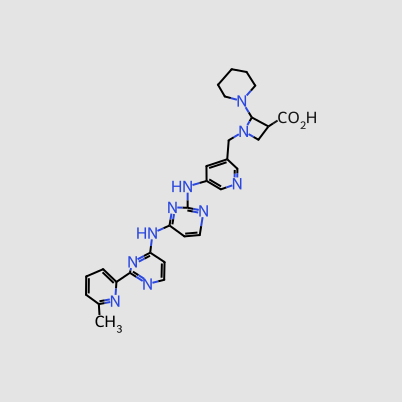 Cc1cccc(-c2nccc(Nc3ccnc(Nc4cncc(CN5CC(C(=O)O)C5N5CCCCC5)c4)n3)n2)n1